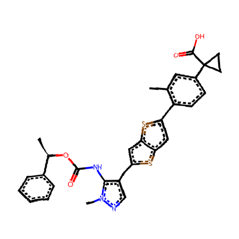 Cc1cc(C2(C(=O)O)CC2)ccc1-c1cc2sc(-c3cnn(C)c3NC(=O)O[C@H](C)c3ccccc3)cc2s1